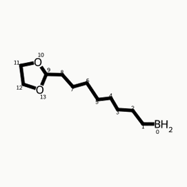 BCCCCCCCCC1OCCO1